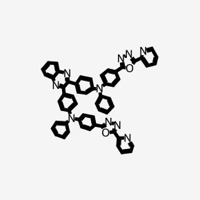 c1ccc(N(c2ccc(-c3nnc(-c4ccccn4)o3)cc2)c2ccc(-c3nc4ccccc4nc3-c3ccc(N(c4ccccc4)c4ccc(-c5nnc(-c6ccccn6)o5)cc4)cc3)cc2)cc1